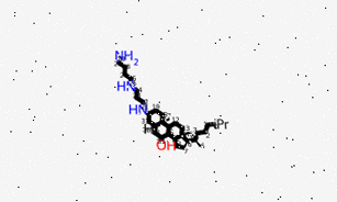 CC(C)CCC[C@@H](C)[C@H]1CCC2C3C(CC[C@@]21C)[C@@]1(C)CC[C@H](NCCCNCCCCN)C[C@@H]1C[C@H]3O